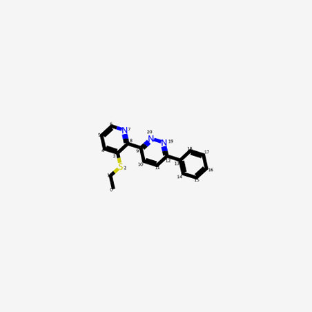 CCSc1cccnc1-c1ccc(-c2ccccc2)nn1